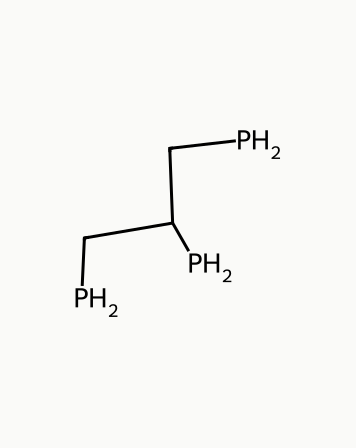 PCC(P)CP